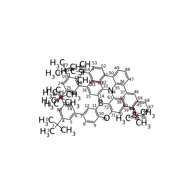 CC(C)(C)c1cc(-c2ccc3c(c2)B2c4cc(-c5cc(C(C)(C)C)cc(C(C)(C)C)c5)ccc4N(c4c(-c5ccc([Si](C)(C)C)cc5)cccc4-c4ccc([Si](C)(C)C)cc4)c4cc(-c5ccccc5)cc(c42)O3)cc(C(C)(C)C)c1